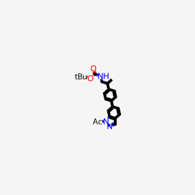 CC(=O)n1ncc2ccc(-c3ccc(C(C)CNC(=O)OC(C)(C)C)cc3)cc21